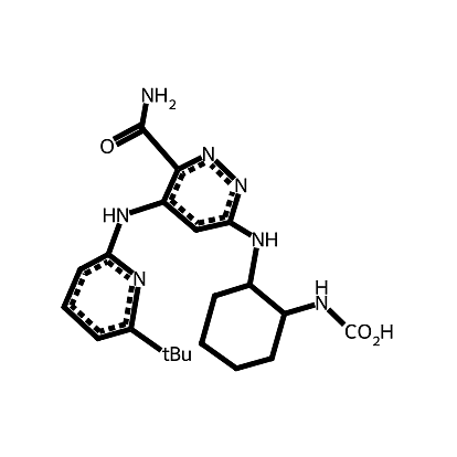 CC(C)(C)c1cccc(Nc2cc(NC3CCCCC3NC(=O)O)nnc2C(N)=O)n1